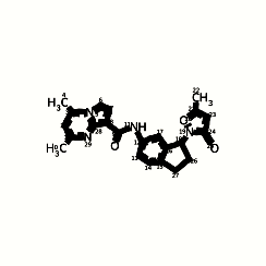 Cc1cc(C)n2ccc(C(=O)Nc3ccc4c(c3)C(n3oc(C)cc3=O)CC4)c2n1